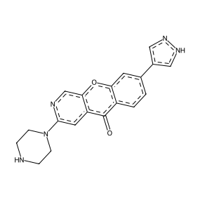 O=c1c2ccc(-c3cn[nH]c3)cc2oc2cnc(N3CCNCC3)cc12